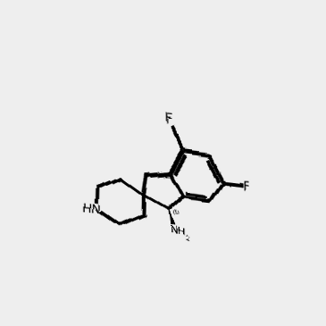 N[C@@H]1c2cc(F)cc(F)c2CC12CCNCC2